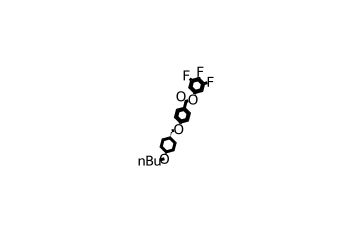 CCCCO[C@H]1CC[C@H](COc2ccc(C(=O)Oc3cc(F)c(F)c(F)c3)cc2)CC1